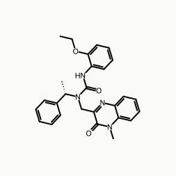 CCOc1ccccc1NC(=O)N(Cc1nc2ccccc2n(C)c1=O)[C@@H](C)c1ccccc1